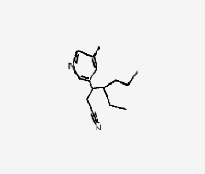 CCCC(CC)C(CC#N)c1cncc(C)c1